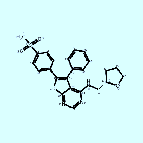 CS(=O)(=O)c1ccc(-c2oc3ncnc(NC[C@@H]4CCCO4)c3c2-c2ccccc2)cc1